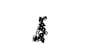 COC[C@H]1CN(c2cc(C)c3c4c(c(=O)oc3c2C)CN(C(=O)c2ccc(C(=O)NS(=O)(=O)N(C)C)c(N3CC5CC5C3)c2)CC4)CCN1C